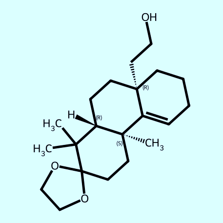 CC1(C)[C@@H]2CC[C@@]3(CCO)CCCC=C3[C@@]2(C)CCC12OCCO2